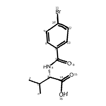 CC(C)[C@H](NC(=O)c1ccc(Br)cc1)C(=O)O